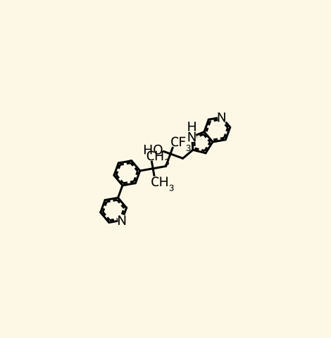 CC(C)(CC(O)(Cc1cc2ccncc2[nH]1)C(F)(F)F)c1cccc(-c2cccnc2)c1